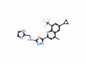 Cc1cc(-c2nnc(NCc3ncc[nH]3)o2)nc2c(C(F)(F)F)cc(C3CC3)cc12